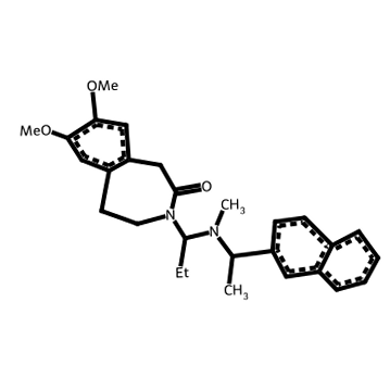 CCC(N1CCc2cc(OC)c(OC)cc2CC1=O)N(C)C(C)c1ccc2ccccc2c1